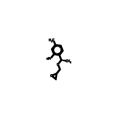 CCCc1cc(C)ccc1[C@@H](C)OCC1CO1